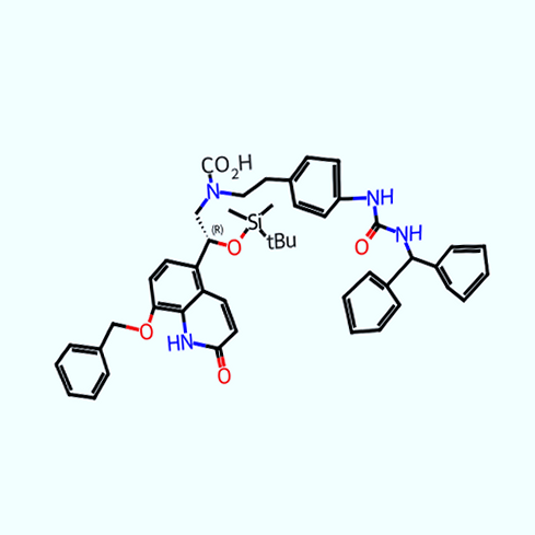 CC(C)(C)[Si](C)(C)O[C@@H](CN(CCc1ccc(NC(=O)NC(c2ccccc2)c2ccccc2)cc1)C(=O)O)c1ccc(OCc2ccccc2)c2[nH]c(=O)ccc12